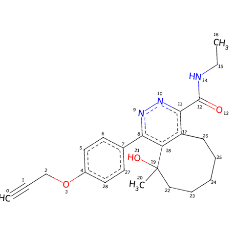 C#CCOc1ccc(-c2nnc(C(=O)NCC)c3c2C(C)(O)CCCCC3)cc1